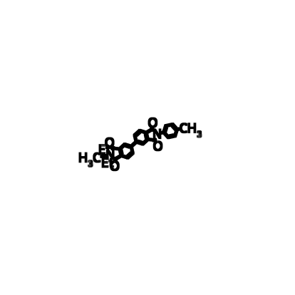 CCC(C)(CC)N1C(=O)c2ccc(-c3ccc4c(c3)C(=O)N(c3ccc(C)cc3)C4=O)cc2C1=O